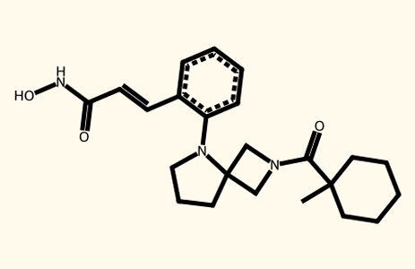 CC1(C(=O)N2CC3(CCCN3c3ccccc3/C=C/C(=O)NO)C2)CCCCC1